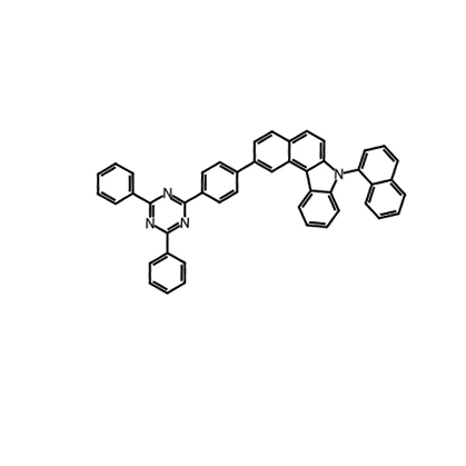 c1ccc(-c2nc(-c3ccccc3)nc(-c3ccc(-c4ccc5ccc6c(c5c4)c4ccccc4n6-c4cccc5ccccc45)cc3)n2)cc1